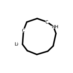 C1CCCCCNCCCC1.[Li]